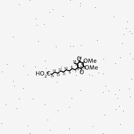 COC1=C(OC)C(=O)C(CCCCCCCCCC(=O)O)=C(C)C1=O